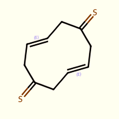 S=C1C/C=C/CC(=S)C/C=C/C1